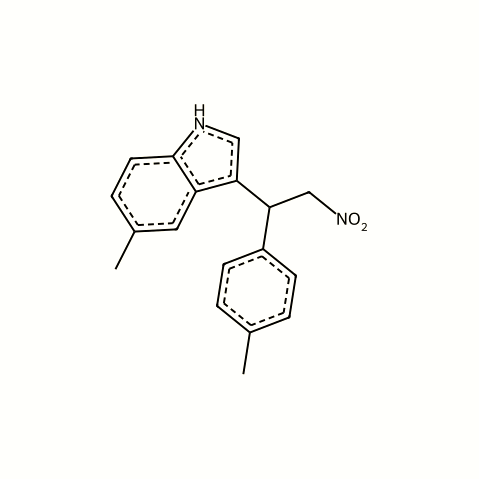 Cc1ccc(C(C[N+](=O)[O-])c2c[nH]c3ccc(C)cc23)cc1